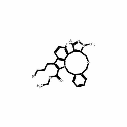 CCOC(=O)c1c(CCCBr)c2ccc(F)c3c2n1Cc1ccccc1COCc1c-3c(C)nn1C